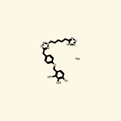 CCCc1c(COc2ccc(Cc3nnn(CCCCCc4nnn[nH]4)n3)cc2)ccc(C(C)=O)c1O.[Na]